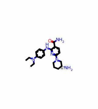 CCN(CC)c1ccc(Nc2nc(N3CCC[C@@H](N)C3)ccc2C(N)=O)cc1